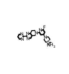 CS1(N)CCN(c2cc(F)nc(N3CCc4nc(-c5ncccn5)ncc4C3)c2)CC1